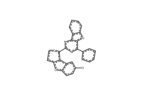 Clc1ccc2oc3cccc(-c4nc(-c5ccccc5)c5oc6ccccc6c5n4)c3c2c1